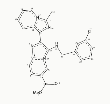 COC(=O)c1ccc2nc(-c3nc(C)n4ccccc34)c(NCc3cccc(Cl)c3)n2c1